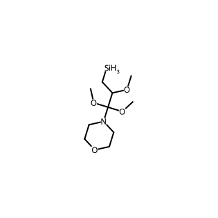 COC(C[SiH3])C(OC)(OC)N1CCOCC1